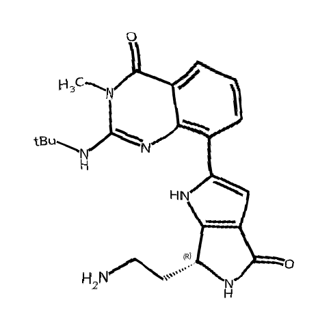 Cn1c(NC(C)(C)C)nc2c(-c3cc4c([nH]3)[C@@H](CCN)NC4=O)cccc2c1=O